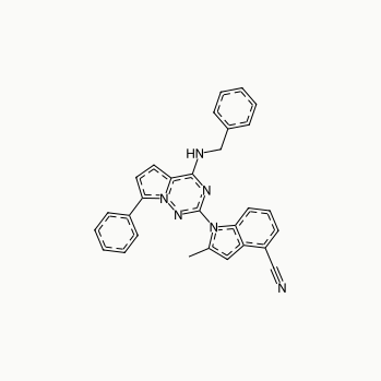 Cc1cc2c(C#N)cccc2n1-c1nc(NCc2ccccc2)c2ccc(-c3ccccc3)n2n1